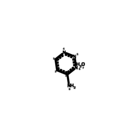 Nc1ccnnn1.O